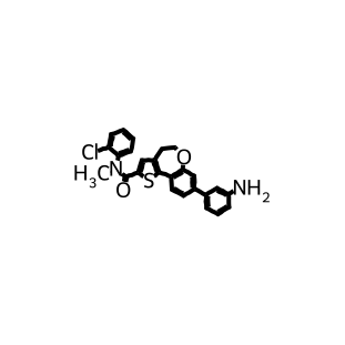 CN(C(=O)c1cc2c(s1)-c1ccc(-c3cccc(N)c3)cc1OCC2)c1ccccc1Cl